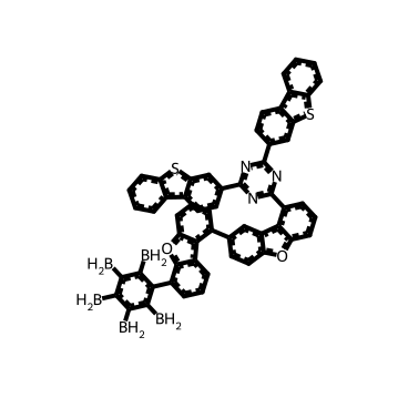 Bc1c(B)c(B)c(-c2cccc3c2oc2cccc(-c4ccc5oc6cccc(-c7nc(-c8ccc9c(c8)sc8ccccc89)nc(-c8ccc9c(c8)sc8ccccc89)n7)c6c5c4)c23)c(B)c1B